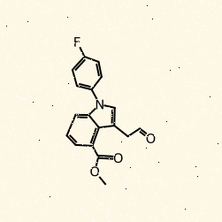 COC(=O)c1cccc2c1c(CC=O)cn2-c1ccc(F)cc1